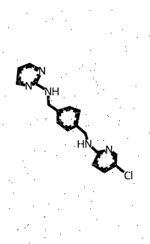 Clc1ccc(NCc2ccc(CNc3ncccn3)cc2)nc1